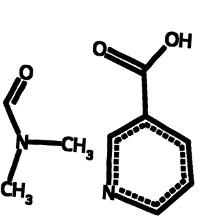 CN(C)C=O.O=C(O)c1cccnc1